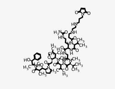 CC[C@H](C)[C@@H]([C@@H](CC(=O)N1CCC[C@H]1[C@H](OC)[C@@H](C)C(=O)N[C@H](C)[C@@H](O)c1ccccc1)OC)N(C)C(=O)[C@@H](NC(=O)[C@H](C(C)C)N(C)C(=O)CNC(=O)C(CCCNC(N)=O)NC(=O)[C@@H](NC(=O)CCNCCNCCCN1C(=O)C=CC1=O)C(C)C)C(C)C